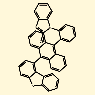 Cc1nc2ccccc2n1-c1ccccc1-c1c2ccccc2c(-c2cccc3sc4ccccc4c23)c2ccccc12